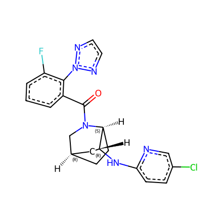 O=C(c1cccc(F)c1-n1nccn1)N1C[C@@H]2CC[C@H]1[C@H](Nc1ccc(Cl)cn1)C2